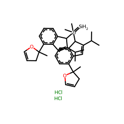 CC(C)C1=Cc2c(cccc2C2(C)CC=CO2)[CH]1[Zr]([CH3])([CH3])(=[SiH2])[CH]1C(C(C)C)=Cc2c1cccc2C1(C)CC=CO1.Cl.Cl